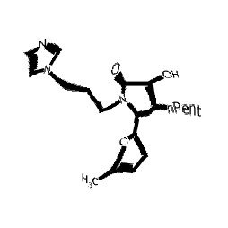 CCCCCC1=C(O)C(=O)N(CCCn2ccnc2)C1c1ccc(C)o1